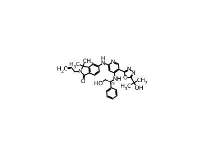 C=CCN1C(=O)c2ccc(Nc3cc(N[C@H](CO)c4ccccc4)c(-c4nnc(C(C)(C)O)o4)cn3)cc2C1(C)C